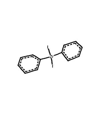 [I][Zr]([I])([c]1ccccc1)[c]1ccccc1